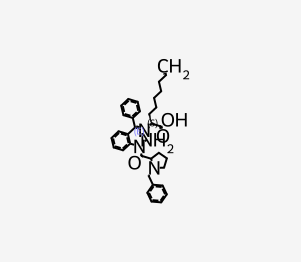 C=CCCCCC[C@H](/N=C(\c1ccccc1)c1ccccc1N(N)C(=O)C1CCCN1Cc1ccccc1)C(=O)O